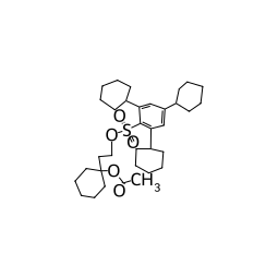 CC(=O)OC1(CCOS(=O)(=O)c2c(C3CCCCC3)cc(C3CCCCC3)cc2C2CCCCC2)CCCCC1